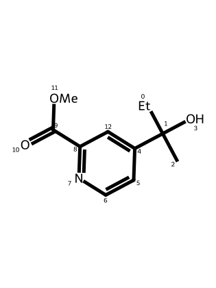 CCC(C)(O)c1ccnc(C(=O)OC)c1